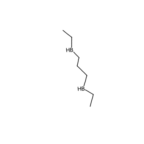 CCBCCCBCC